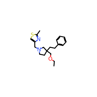 CCOCC1(CCc2ccccc2)CCN(Cc2csc(C)n2)C1